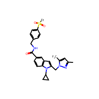 CCS(=O)(=O)c1ccc(CNC(=O)c2ccc3c(c2)cc(Cn2nc(C)cc2C(F)(F)F)n3C2CC2)cc1